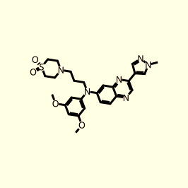 COc1cc(OC)cc(N(CCCN2CCS(=O)(=O)CC2)c2ccc3ncc(-c4cnn(C)c4)nc3c2)c1